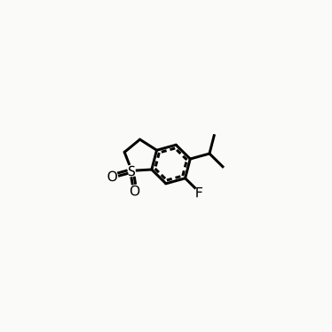 CC(C)c1cc2c(cc1F)S(=O)(=O)CC2